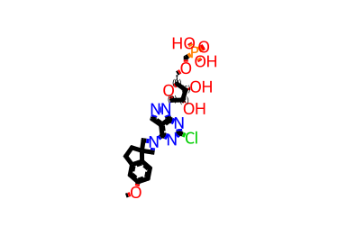 COc1ccc2c(c1)CCC21CN(c2nc(Cl)nc3c2cnn3[C@@H]2O[C@H](COCP(=O)(O)O)[C@@H](O)[C@H]2O)C1